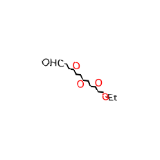 CCOCCC(=O)CCC(=O)CCC(=O)CCC=O